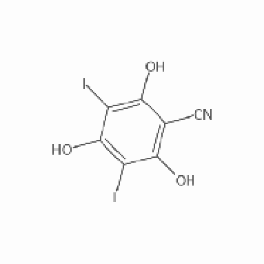 N#Cc1c(O)c(I)c(O)c(I)c1O